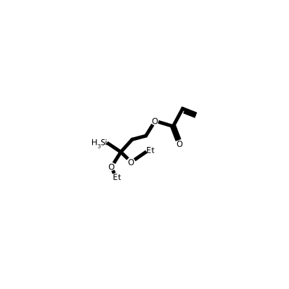 C=CC(=O)OCCC([SiH3])(OCC)OCC